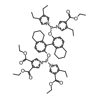 CCOC(=O)c1cn(P(Oc2ccc3c(c2-c2c(OP(n4cc(CC)c(C(=O)OCC)c4)n4cc(C(=O)OCC)c(C(=O)OCC)c4)ccc4c2CCCC4)CCCC3)n2cc(CC)c(CC)c2)cc1CC